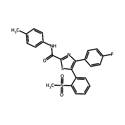 Cc1ccc(NC(=O)c2nc(-c3ccc(F)cc3)c(-c3ccccc3S(C)(=O)=O)s2)cc1